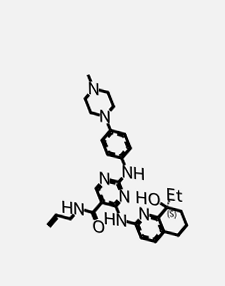 C=CCNC(=O)c1cnc(Nc2ccc(N3CCN(C)CC3)cc2)nc1Nc1ccc2c(n1)[C@](O)(CC)CCC2